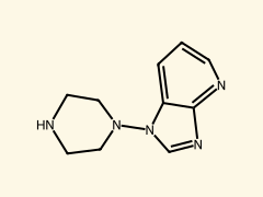 c1cnc2ncn(N3CCNCC3)c2c1